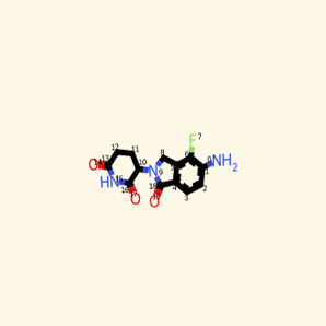 Nc1ccc2c(c1F)CN(C1CCC(=O)NC1=O)C2=O